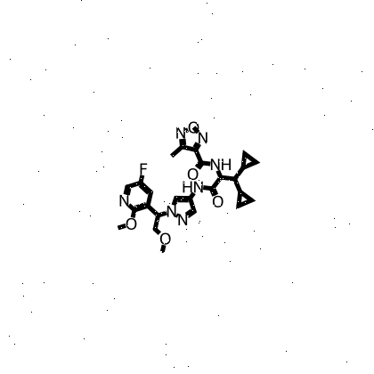 COCC(c1cc(F)cnc1OC)n1cc(NC(=O)C(NC(=O)c2nonc2C)C(C2CC2)C2CC2)cn1